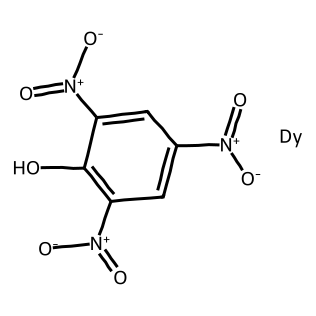 O=[N+]([O-])c1cc([N+](=O)[O-])c(O)c([N+](=O)[O-])c1.[Dy]